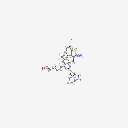 N#Cc1c(N)sc2c(F)ccc(-c3c(C(F)(F)F)cc4c(N5CCC(CO)CC5)nc(OC[C@@]56CCCN5C[C@H](F)C6)nc4c3F)c12